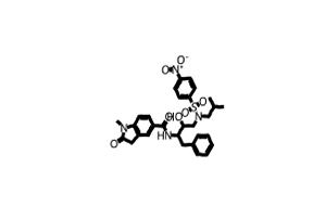 CC(C)CN(CC(O)C(Cc1ccccc1)NC(=O)c1ccc2c(c1)CC(=O)N2C)S(=O)(=O)c1ccc([N+](=O)[O-])cc1